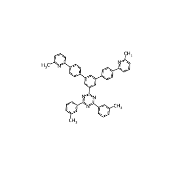 Cc1cccc(-c2nc(-c3cccc(C)c3)nc(-c3cc(-c4ccc(-c5cccc(C)n5)cc4)cc(-c4ccc(-c5cccc(C)n5)cc4)c3)n2)c1